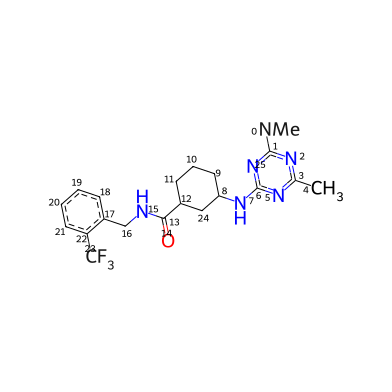 CNc1nc(C)nc(NC2CCCC(C(=O)NCc3ccccc3C(F)(F)F)C2)n1